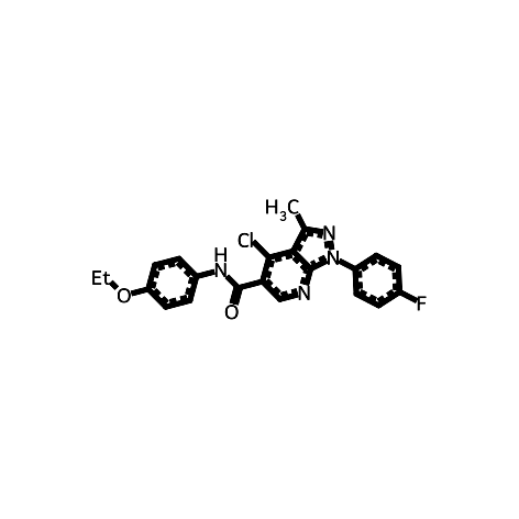 CCOc1ccc(NC(=O)c2cnc3c(c(C)nn3-c3ccc(F)cc3)c2Cl)cc1